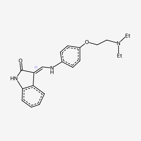 CCN(CC)CCOc1ccc(N/C=C2/C(=O)Nc3ccccc32)cc1